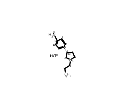 CCCN1CC[C@@H](c2ccc(N)cc2)C1.Cl